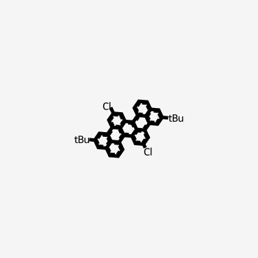 CC(C)(C)c1cc2cccc3c2c(c1)c1cc(Cl)cc2c1c3c1cc(Cl)cc3c4cc(C(C)(C)C)cc5cccc(c54)c2c31